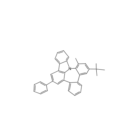 Cc1cc(C(C)(C)C)cc2c1-n1c3ccccc3c3cc(-c4ccccc4)cc(c31)-c1ccccc1-2